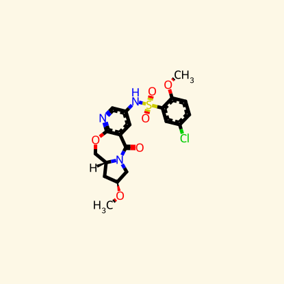 COc1ccc(Cl)cc1S(=O)(=O)Nc1cnc2c(c1)C(=O)N1C[C@@H](OC)C[C@@H]1CO2